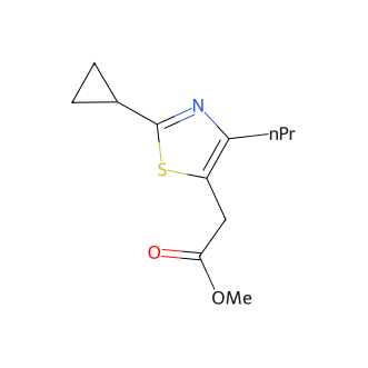 CCCc1nc(C2CC2)sc1CC(=O)OC